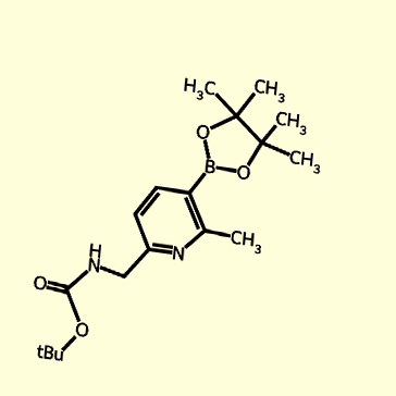 Cc1nc(CNC(=O)OC(C)(C)C)ccc1B1OC(C)(C)C(C)(C)O1